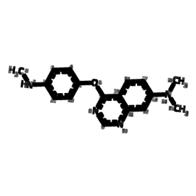 CNc1ccc(Oc2ncnc3cc(N(C)C)ccc23)cc1